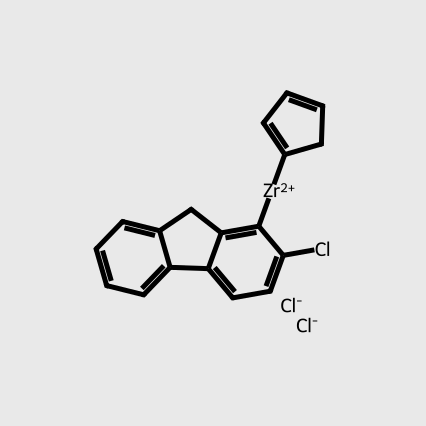 Clc1ccc2c([c]1[Zr+2][C]1=CC=CC1)Cc1ccccc1-2.[Cl-].[Cl-]